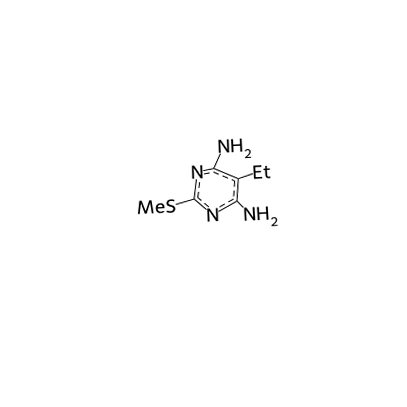 CCc1c(N)nc(SC)nc1N